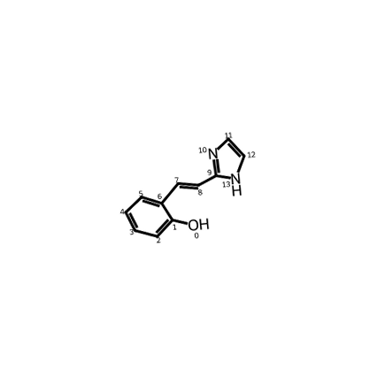 Oc1ccccc1/C=C/c1ncc[nH]1